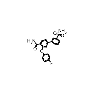 NC(=O)c1ccc(-c2cccc(S(N)(=O)=O)c2)cc1Oc1ccc(F)cc1